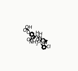 NC(=O)n1cc(NC(=O)N[C@@H](CC2CC2)C(=O)NCc2cccc(Cl)c2F)c2ccc(OCC(=O)O)cc21